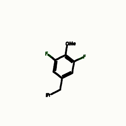 COc1c(F)cc(CC(C)C)cc1F